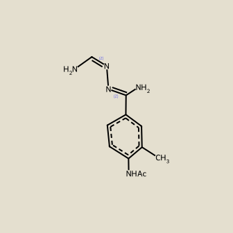 CC(=O)Nc1ccc(/C(N)=N/N=C\N)cc1C